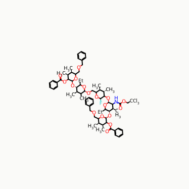 CCC1O[C@@H](OCC2O[C@H](F)C(O[C@@H]3OC(CC)[C@@H](O[C@@H]4OC(COCc5ccccc5)[C@H](C)[C@H](C)C4OC(=O)c4ccccc4)[C@H](C)C3NC(=O)OCC(Cl)(Cl)Cl)[C@@H](C)[C@@H]2C)C(C)[C@@H](C)[C@@H]1O[C@@H]1OC(COCc2ccccc2)[C@H](C)[C@H](C)C1OC(=O)c1ccccc1